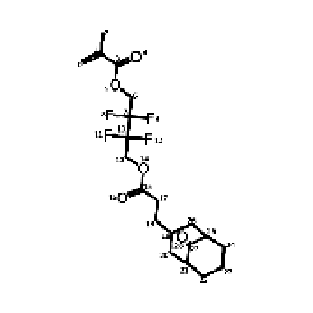 C=C(C)C(=O)OCC(F)(F)C(F)(F)COC(=O)CCC1CC2CCCC(C1)C2=O